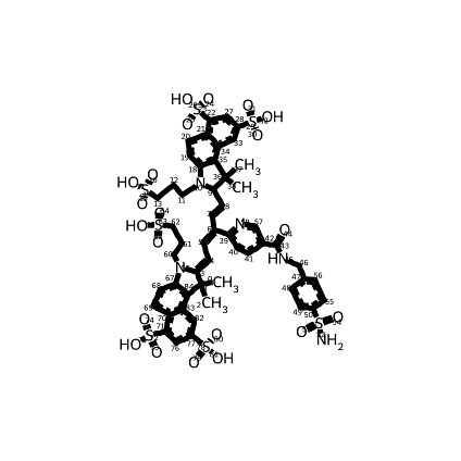 CC1(C)C(=CC=C(/C=C/C2N(CCCS(=O)(=O)O)c3ccc4c(S(=O)(=O)O)cc(S(=O)(=O)O)cc4c3C2(C)C)c2ccc(C(=O)NCc3ccc(S(N)(=O)=O)cc3)cn2)N(CCCS(=O)(=O)O)c2ccc3c(S(=O)(=O)O)cc(S(=O)(=O)O)cc3c21